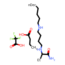 CCCC(=O)O.CCCCCCCCCCCCCCNCCCCNC(CC)C(N)=O.O=C(O)C(F)(F)F